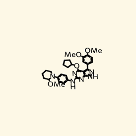 COc1ccc(-c2n[nH]c3nc(Nc4ccc(N5CCCCC5OC)cc4)nc(OC4CCCC4)c23)cc1OC